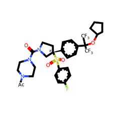 CC(=O)N1CCN(C(=O)N2CC[C@](c3ccc(C(OC4CCCC4)(C(F)(F)F)C(F)(F)F)cc3)(S(=O)(=O)c3ccc(F)cc3)C2)CC1